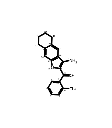 Nc1c(C(=O)c2ccccc2Cl)oc2cc3c(cc12)CCCC3